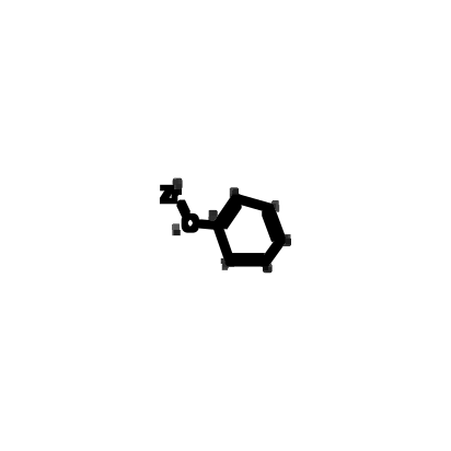 [Zr][O]c1ccccc1